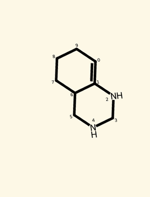 C1=C2NCNCC2CCC1